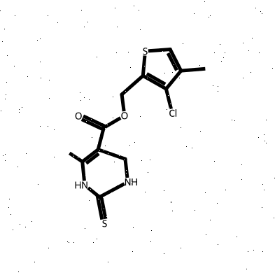 CC1=C(C(=O)OCc2scc(C)c2Cl)CNC(=S)N1